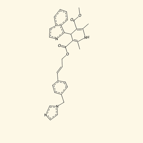 COC(=O)C1=C(C)NC(C)=C(C(=O)OCC=Cc2ccc(Cn3ccnc3)cc2)C1c1nccc2ccccc12